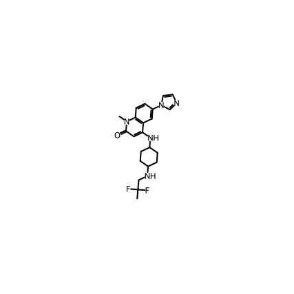 Cn1c(=O)cc(NC2CCC(NCC(C)(F)F)CC2)c2cc(-n3ccnc3)ccc21